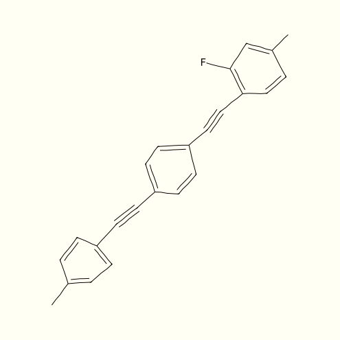 Cc1ccc(C#Cc2ccc(C#Cc3ccc(C)cc3F)cc2)cc1